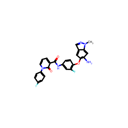 Cn1ncc2cc(Oc3ccc(NC(=O)c4cccn(-c5ccc(F)cc5)c4=O)cc3F)c(N)cc21